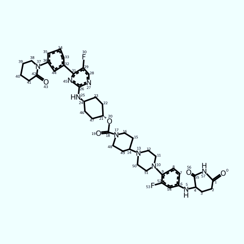 O=C1CCC(Nc2ccc(N3CCN(C4CCN(C(=O)O[C@H]5CC[C@H](Nc6ncc(F)c(-c7cccc(N8CCCCC8=O)c7)n6)CC5)CC4)CC3)c(F)c2)C(=O)N1